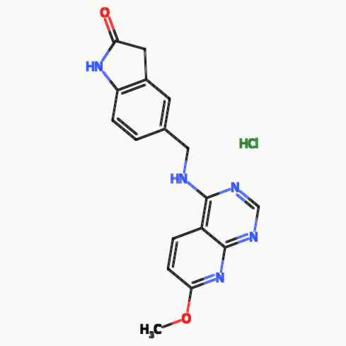 COc1ccc2c(NCc3ccc4c(c3)CC(=O)N4)ncnc2n1.Cl